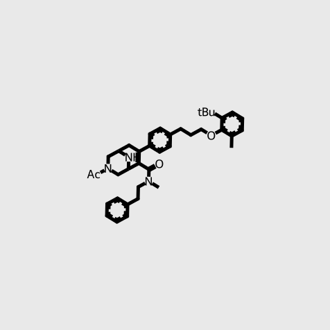 CC(=O)N1CC2CC(c3ccc(CCCOc4c(C)cccc4C(C)(C)C)cc3)=C(C(=O)N(C)CCc3ccccc3)C(C1)N2